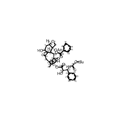 CC(=O)O[C@@]12CO[C@@H]1C[C@H](O)[C@@]1(C)C(=O)CC3=C(C)[C@@H](OC(=O)[C@H](O)[C@@H](NC(=O)OC(C)(C)C)c4ccccc4)C[C@@](O)([C@@H](OC(=O)c4ccccc4)[C@H]21)C3(C)C